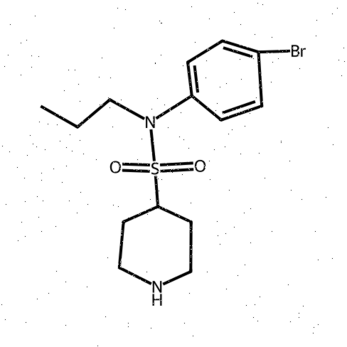 CCCN(c1ccc(Br)cc1)S(=O)(=O)C1CCNCC1